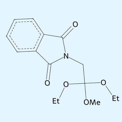 CCOC(CN1C(=O)c2ccccc2C1=O)(OC)OCC